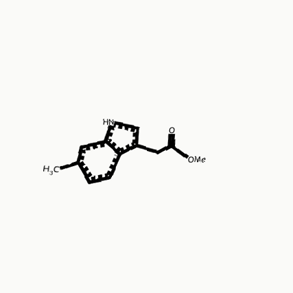 COC(=O)Cc1c[nH]c2cc(C)ccc12